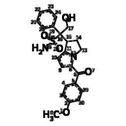 COc1ccc(C(=O)c2ccc3n2CCC3C(CO)(c2ccccc2)S(N)(=O)=O)cc1